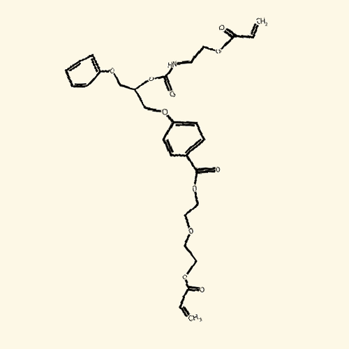 C=CC(=O)OCCNC(=O)OC(COc1ccccc1)COc1ccc(C(=O)OCCOCCOC(=O)C=C)cc1